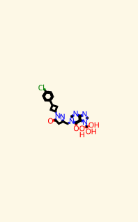 O=C1CC(Cn2cnc3ncn(C(O)(O)O)c3c2=O)=NN1C1CC(c2ccc(Cl)cc2)C1